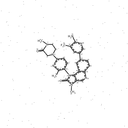 Cc1nc(N2CCN(C)C(=O)C2)ccc1-n1c(=O)n(C)c2cnc3ccc(-c4cnc(N)c(C(F)(F)F)c4)cc3c21